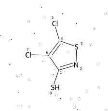 Sc1nsc(Cl)c1Cl